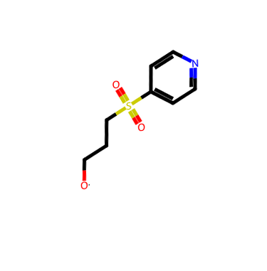 [O]CCCS(=O)(=O)c1ccncc1